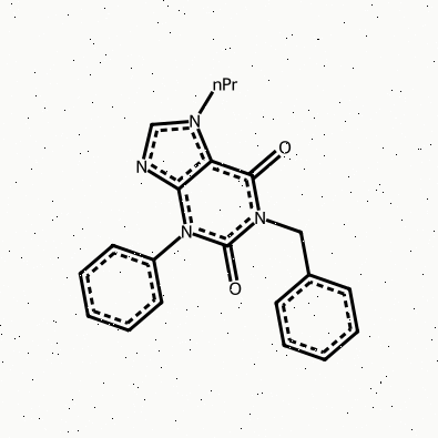 CCCn1cnc2c1c(=O)n(Cc1ccccc1)c(=O)n2-c1ccccc1